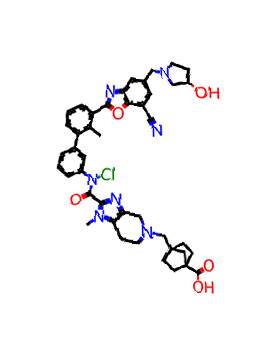 Cc1c(-c2cccc(N(Cl)C(=O)c3nc4c(n3C)CCN(CC35CCC(C(=O)O)(CC3)C5)C4)c2)cccc1-c1nc2cc(CN3CCC(O)C3)cc(C#N)c2o1